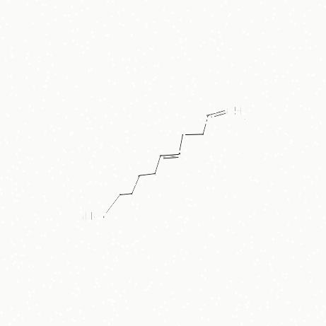 [CH2]CCCCCCCCCC=CCCC=C